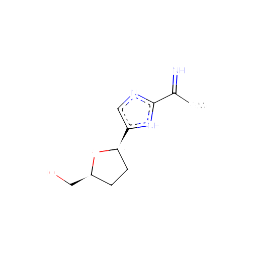 COC(=N)c1ncc([C@H]2CC[C@@H](CO)O2)[nH]1